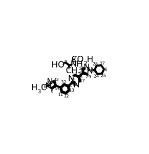 CC(CO)NC(=O)O.Cn1cc(-c2cccc(-c3ncc(-c4cnn(C5CCCCC5)c4)cn3)c2)cn1